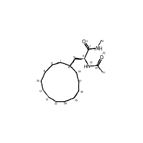 CNC(=O)[C@H](CC1CCCCCCCCCCCC1)NC(C)=O